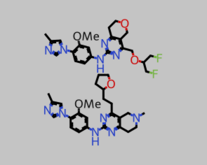 COc1cc(Nc2nc(CCC3CCCO3)c3c(n2)CCN(C)C3)ccc1-n1cnc(C)c1.COc1cc(Nc2nc3c(c(COC(CF)CF)n2)COCC3)ccc1-n1cnc(C)c1